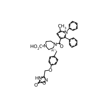 Cc1cc(C(=O)N2CCN(C(=O)O)C[C@H]2Cc2ccc(OCc3noc(=O)[nH]3)cc2)c(-c2ccccc2)n1-c1ccccc1